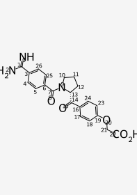 N=C(N)c1ccc(C(=O)N2CCC[C@@H]2C(=O)c2ccc(OCC(=O)O)cc2)cc1